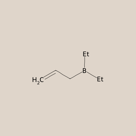 C=CCB(CC)CC